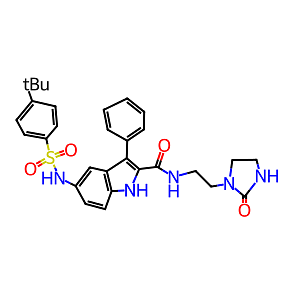 CC(C)(C)c1ccc(S(=O)(=O)Nc2ccc3[nH]c(C(=O)NCCN4CCNC4=O)c(-c4ccccc4)c3c2)cc1